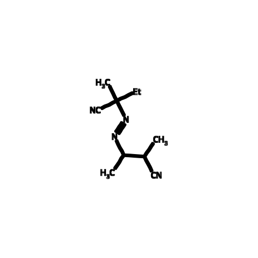 CCC(C)(C#N)/N=N/C(C)C(C)C#N